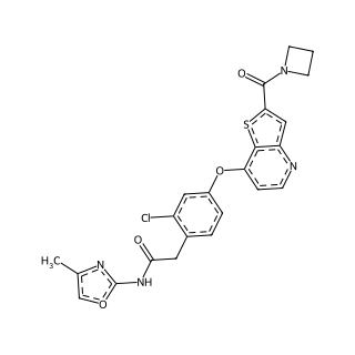 Cc1coc(NC(=O)Cc2ccc(Oc3ccnc4cc(C(=O)N5CCC5)sc34)cc2Cl)n1